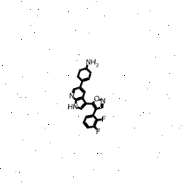 NC1CC=C(c2cnc3[nH]cc(-c4oncc4-c4cccc(F)c4F)c3c2)CC1